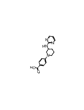 O=C(O)c1ccc(N2CCCC(Nc3ncccn3)C2)cc1